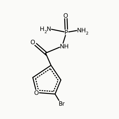 NP(N)(=O)NC(=O)c1coc(Br)c1